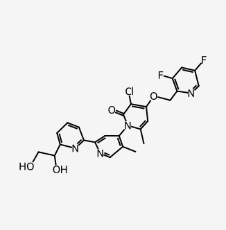 Cc1cnc(-c2cccc(C(O)CO)n2)cc1-n1c(C)cc(OCc2ncc(F)cc2F)c(Cl)c1=O